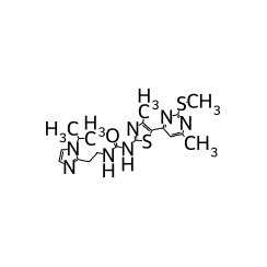 CSc1nc(C)cc(-c2sc(NC(=O)NCCc3nccn3C(C)C)nc2C)n1